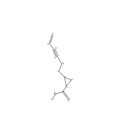 COC(=O)C1CC1CCC#CC=O